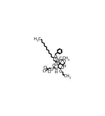 C=CCO[C@H]1O[C@@H]2COC(C)(C)O[C@H]2[C@H](OC(=O)C[C@@H](CCCCCCCCCCC)OCc2ccccc2)[C@H]1NC(=O)OCC(Cl)(Cl)Cl